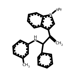 C=C(c1cn(CCC)c2ccccc12)C(Nc1cccc(C)c1)c1ccccc1